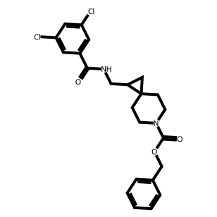 O=C(NCC1CC12CCN(C(=O)OCc1ccccc1)CC2)c1cc(Cl)cc(Cl)c1